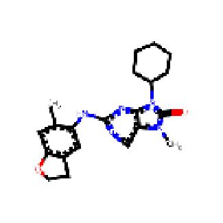 Cc1cc2c(cc1Nc1ncc3c(n1)n(C1CCCCC1)c(=O)n3C)CCO2